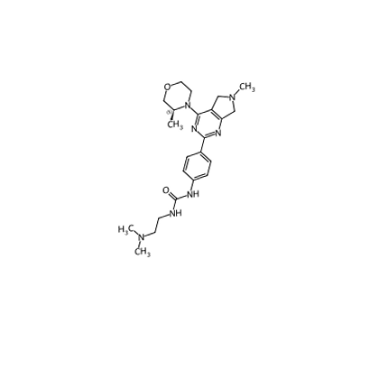 C[C@H]1COCCN1c1nc(-c2ccc(NC(=O)NCCN(C)C)cc2)nc2c1CN(C)C2